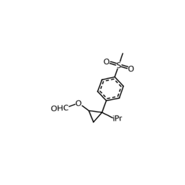 CC(C)C1(c2ccc(S(C)(=O)=O)cc2)CC1OC=O